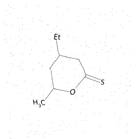 CCC1CC(=S)OC(C)C1